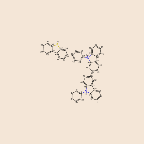 c1ccc(-n2c3ccccc3c3cc(-c4ccc5c6ccccc6n(-c6ccc(-c7ccc8c(c7)sc7ccccc78)cc6)c5c4)ccc32)cc1